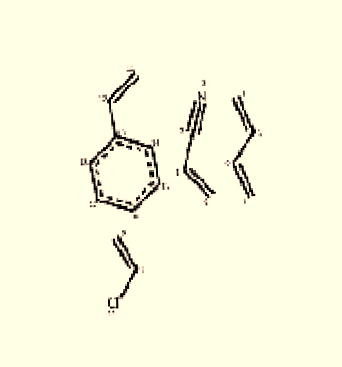 C=CC#N.C=CC=C.C=CCl.C=Cc1ccccc1